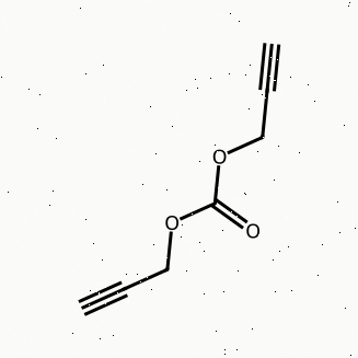 C#CCOC(=O)OCC#C